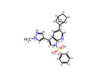 Cn1cc(-c2cn(S(=O)(=O)c3ccccc3)c3ncc(C4CC5CCC4C5)cc23)cn1